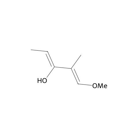 C/C=C(O)/C(C)=C/OC